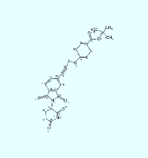 CC(C)(C)OC(=O)N1CCC(OCC#Cc2ccc3c(c2)C(=O)N(C2CCC(=O)NC2=O)C3=O)CC1